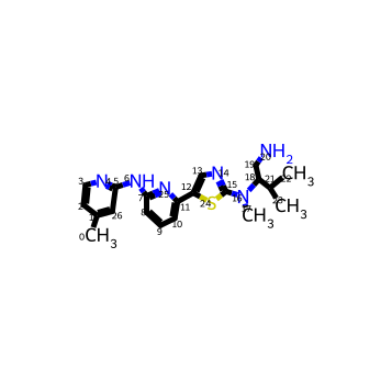 Cc1ccnc(Nc2cccc(-c3cnc(N(C)C(CN)C(C)C)s3)n2)c1